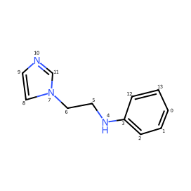 c1ccc(NCCn2ccnc2)cc1